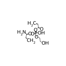 C=CC(=O)OP(=O)(O)OCCO.C=CC(N)=O